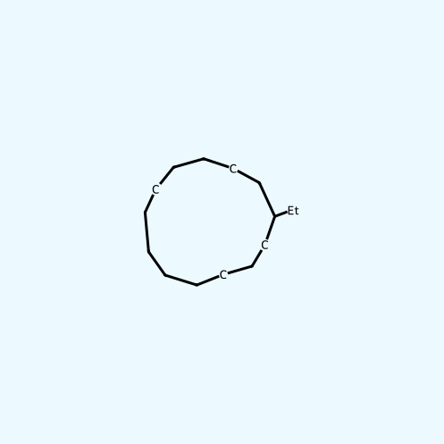 CCC1CCCCCCCCCCCC1